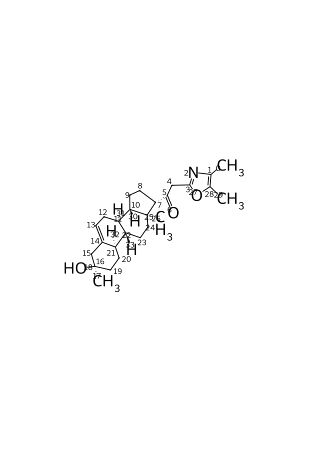 Cc1nc(CC(=O)[C@H]2CC[C@H]3[C@@H]4CC=C5C[C@](C)(O)CC[C@@H]5[C@H]4CC[C@]23C)oc1C